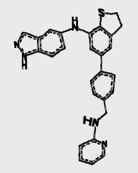 c1ccc(NCc2ccc(-c3cc4c(c(Nc5ccc6[nH]ncc6c5)c3)SCC4)cc2)nc1